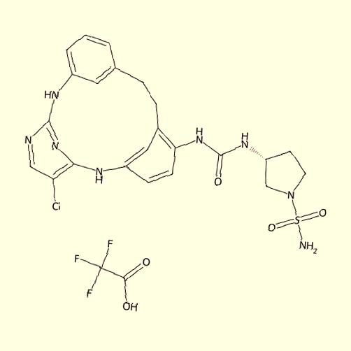 NS(=O)(=O)N1CC[C@@H](NC(=O)Nc2ccc3cc2CCc2cccc(c2)Nc2ncc(Cl)c(n2)N3)C1.O=C(O)C(F)(F)F